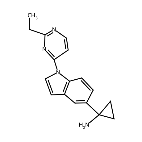 CCc1nccc(-n2ccc3cc(C4(N)CC4)ccc32)n1